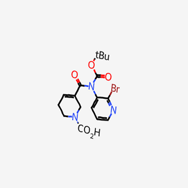 CC(C)(C)OC(=O)N(C(=O)C1=CCCN(C(=O)O)C1)c1cccnc1Br